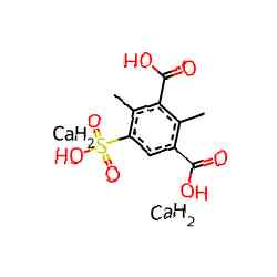 Cc1c(C(=O)O)cc(S(=O)(=O)O)c(C)c1C(=O)O.[CaH2].[CaH2]